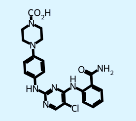 NC(=O)c1ccccc1Nc1nc(Nc2ccc(N3CCN(C(=O)O)CC3)cc2)ncc1Cl